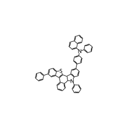 c1ccc(-c2ccc3sc4c(c3c2)-c2ccccc2C2C4c3cc(-c4ccc(N(c5ccccc5)c5cccc6ccccc56)cc4)ccc3N2c2ccccc2)cc1